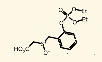 CCOP(=O)(OCC)Oc1ccccc1C[S+]([O-])CC(=O)O